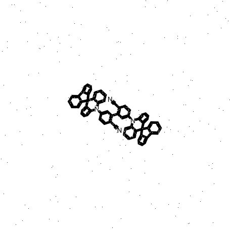 N#Cc1ccc(N2c3ccccc3C3(c4ccccc4-c4ccccc43)c3ccccc32)cc1-c1cc(N2c3ccccc3C3(c4ccccc4-c4ccccc43)c3ccccc32)ccc1C#N